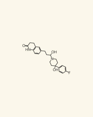 O=C1CCc2cc(CCC(O)N3CCC(O)(c4ccc(F)cc4)CC3)ccc2N1